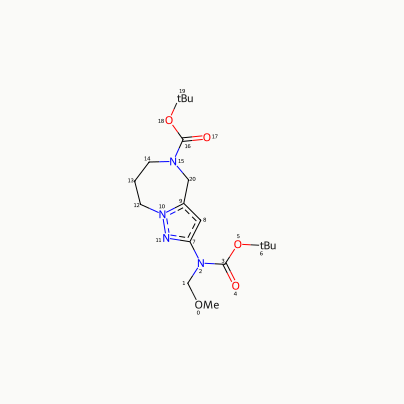 COCN(C(=O)OC(C)(C)C)c1cc2n(n1)CCCN(C(=O)OC(C)(C)C)C2